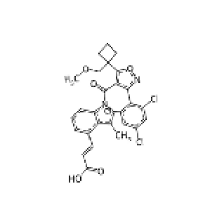 COCC1(c2onc(-c3c(Cl)cc(Cl)cc3Cl)c2C(=O)n2cc(C)c3c(/C=C/C(=O)O)cccc32)CCC1